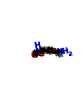 CC1(C(=O)NC2CCOCC2)C=C(c2ccc(OC/C(=C/F)CN)cc2)C1